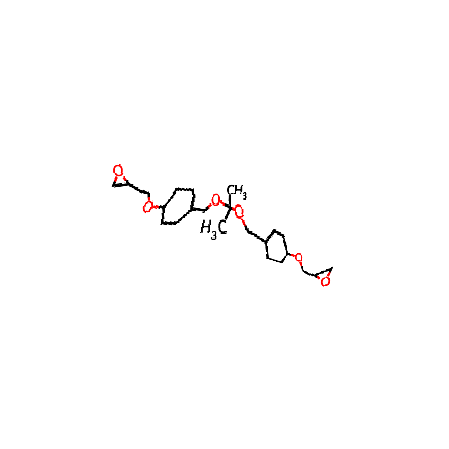 CC(C)(OCC1CCC(OCC2CO2)CC1)OCC1CCC(OCC2CO2)CC1